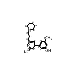 Cc1cc(S)cc(-c2cc(CCCN3CCCCC3)nc(C#N)n2)c1